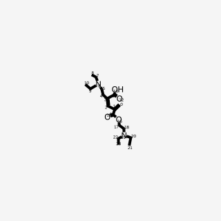 C=C(C=C(CCN(CC)CC)C(=O)O)C(=O)OCCN(CC)CC